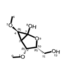 CO[C@@H]1C2[C@@H](OC)C2(O)O[C@@H]1CO